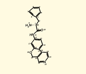 N[C@H](Cc1ccccc1)C(=O)Nc1ccc2c(c1)OCc1cnccc1-2